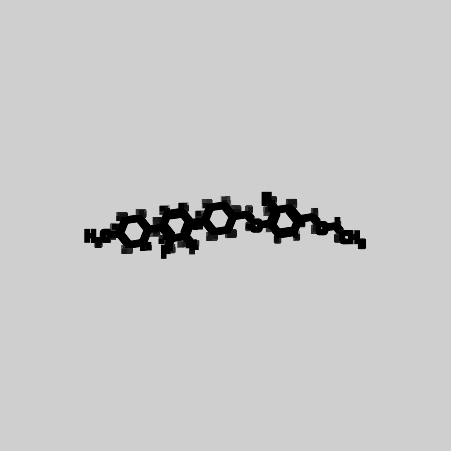 CCOCc1ccc(OCC2CCC(c3ccc(C4CCC(C)CC4)c(F)c3F)CC2)c(F)c1